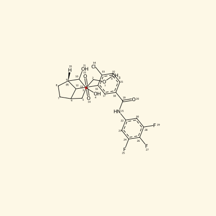 COCC1(O)CC2CC[C@H](C1O)C2S(=O)(=O)c1cc(C(=O)Nc2cc(F)c(F)c(F)c2)ccc1Cl